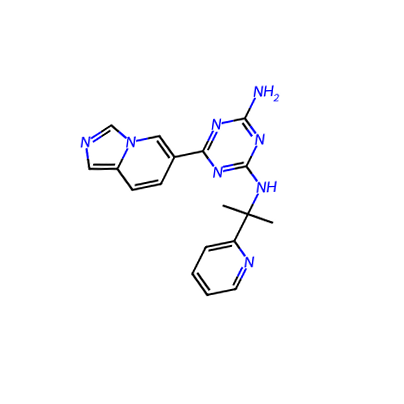 CC(C)(Nc1nc(N)nc(-c2ccc3cncn3c2)n1)c1ccccn1